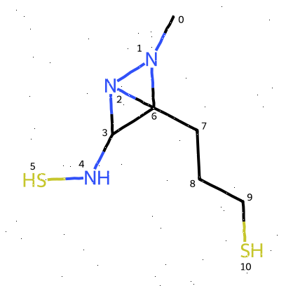 CN1N2C(NS)C12CCCS